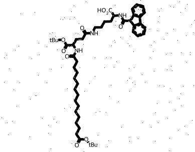 CC(C)(C)OC(=O)CCCCCCCCCCCCCCC(=O)NC(CCC(=O)NCCCCC(NC(=O)C1c2ccccc2-c2ccccc21)C(=O)O)C(=O)OC(C)(C)C